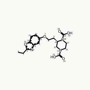 CCc1nc2cc(OCC[C@@H]3CN(C(=O)O)CCN3C(=O)O)ccc2o1